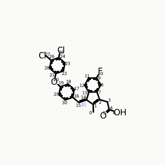 CC1=C(CC(=O)O)c2cc(F)ccc2/C1=C\c1ccc(Oc2ccc(Cl)c(Cl)c2)cc1